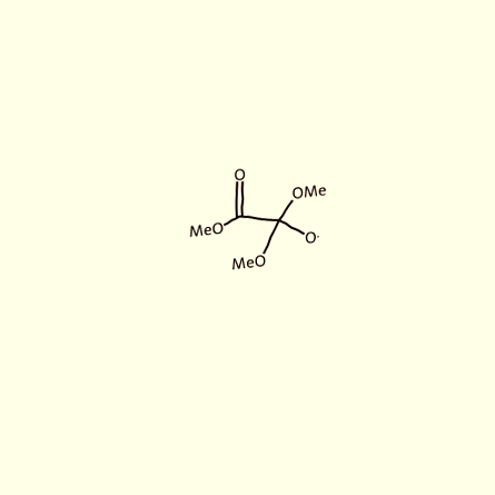 COC(=O)C([O])(OC)OC